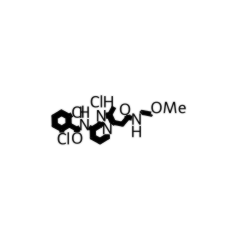 COCCNC(=O)Cc1c(C)nc2c(NC(=O)c3c(Cl)cccc3Cl)cccn12.Cl